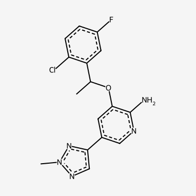 CC(Oc1cc(-c2cnn(C)n2)cnc1N)c1cc(F)ccc1Cl